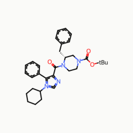 CC(C)(C)OC(=O)N1CCN(C(=O)c2ncn(C3CCCCC3)c2-c2ccccc2)[C@H](Cc2ccccc2)C1